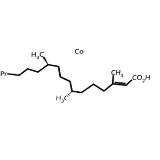 C/C(=C\C(=O)O)CCC[C@H](C)CCC[C@H](C)CCCC(C)C.[Co]